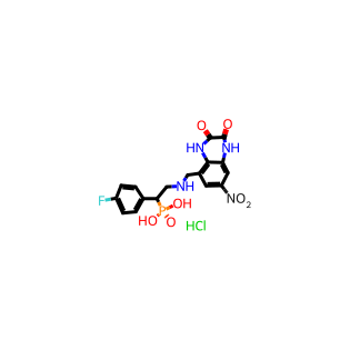 Cl.O=c1[nH]c2cc([N+](=O)[O-])cc(CNCC(c3ccc(F)cc3)P(=O)(O)O)c2[nH]c1=O